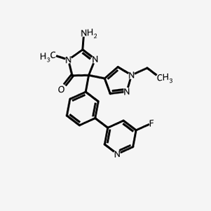 CCn1cc(C2(c3cccc(-c4cncc(F)c4)c3)N=C(N)N(C)C2=O)cn1